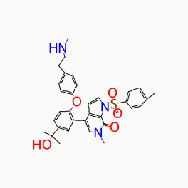 CNCCc1ccc(Oc2ccc(C(C)(C)O)cc2-c2cn(C)c(=O)c3c2ccn3S(=O)(=O)c2ccc(C)cc2)cc1